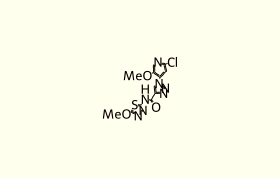 COc1nnc(NC(=O)c2cn(-c3cc(Cl)ncc3OC)nn2)s1